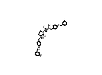 O=C1C(NCc2ccc(OCc3cccc(F)c3)cc2)CCCN1N1CC(NCc2ccc(OCc3cccc(F)c3)cc2)C1=O